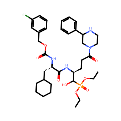 CCOP(=O)(OCC)C(O)[C@H](CCC(=O)N1CCNC(c2ccccc2)C1)NC(=O)[C@H](CC1CCCCC1)NC(=O)OCc1cccc(Cl)c1